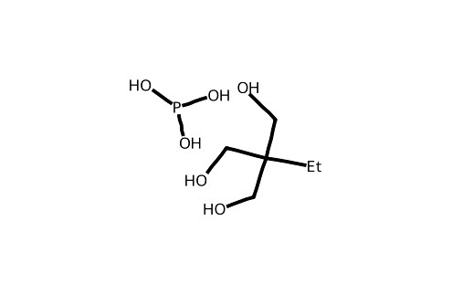 CCC(CO)(CO)CO.OP(O)O